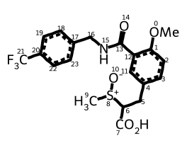 COc1ccc(CC(C(=O)O)[S+](C)[O-])cc1C(=O)NCc1ccc(C(F)(F)F)cc1